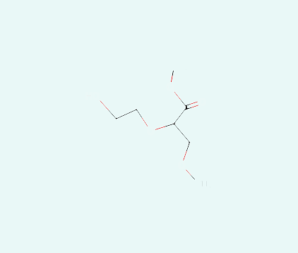 COCC(OCCO)C(=O)OC